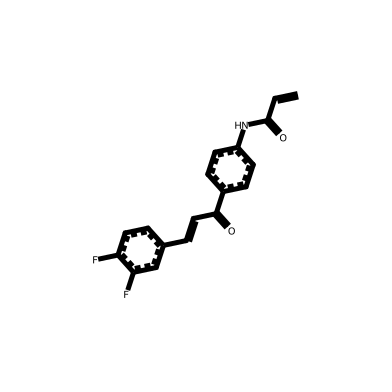 C=CC(=O)Nc1ccc(C(=O)C=Cc2ccc(F)c(F)c2)cc1